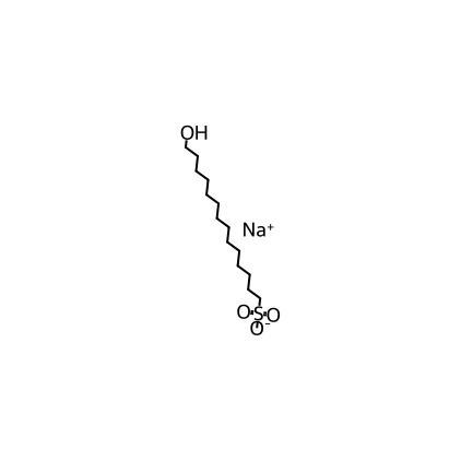 O=S(=O)([O-])CCCCCCCCCCCCCCO.[Na+]